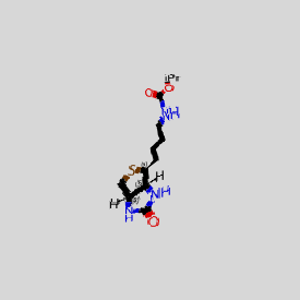 CC(C)OC(=O)NCCCC[C@@H]1SC[C@@H]2NC(=O)N[C@@H]21